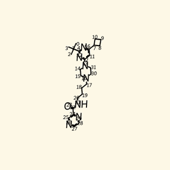 CC(C)(C)c1nc(C2CCC2)cc(N2CCN(CCCCNC(=O)c3cnccn3)CC2)n1